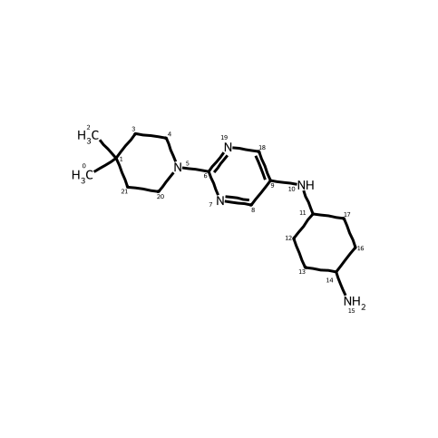 CC1(C)CCN(c2ncc(NC3CCC(N)CC3)cn2)CC1